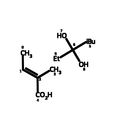 CC=C(C)C(=O)O.CCC(C)C(O)(O)CC